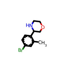 Cc1cc(Br)ccc1C1COCCN1